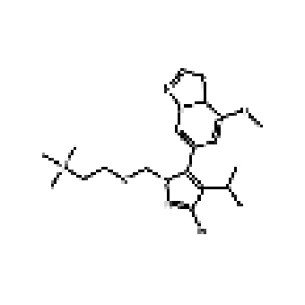 COc1cc(-c2c(C(C)C)c(Br)nn2COCC[Si](C)(C)C)cn2ncnc12